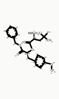 CN[C@@H](CC(C)(C)F)C(=O)O[C@@H](Cc1ccc(OC(F)(F)F)cc1)C(=O)OCc1ccccc1